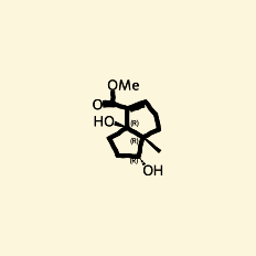 COC(=O)C1=CCC[C@]2(C)[C@H](O)CC[C@]12O